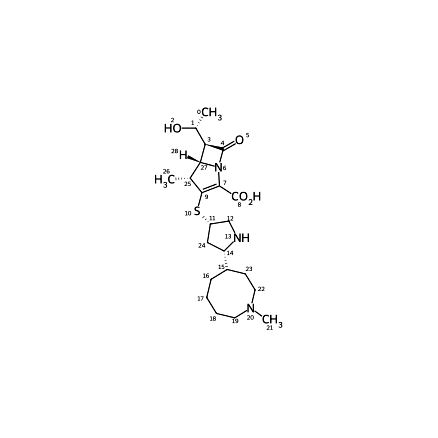 C[C@@H](O)[C@H]1C(=O)N2C(C(=O)O)=C(S[C@@H]3CN[C@H](C4CCCCN(C)CC4)C3)[C@H](C)[C@H]12